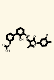 CC1=NN(c2ccc(C)c(F)c2)C(=O)C1=NNc1cccc(-c2cccc(OC(=O)O)c2)c1O